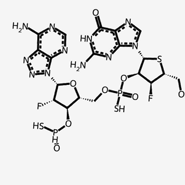 Nc1nc2c(ncn2[C@@H]2S[C@H](CO)[C@@H](F)[C@H]2OP(=O)(S)OC[C@H]2O[C@@H](n3nnc4c(N)ncnc43)[C@@H](F)[C@@H]2O[PH](=O)S)c(=O)[nH]1